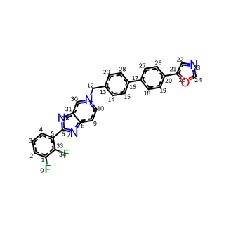 Fc1cccc(-c2nc3ccn(Cc4ccc(-c5ccc(-c6cnco6)cc5)cc4)cc-3n2)c1F